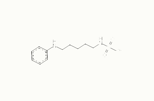 CC(C)S(=O)(=O)NCCCCCNc1ccccc1